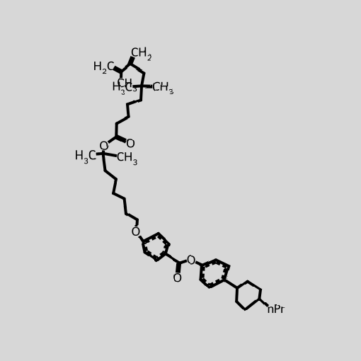 C=C(C)C(=C)CC(C)(C)CCCCC(=O)OC(C)(C)CCCCCCOc1ccc(C(=O)Oc2ccc(C3CCC(CCC)CC3)cc2)cc1